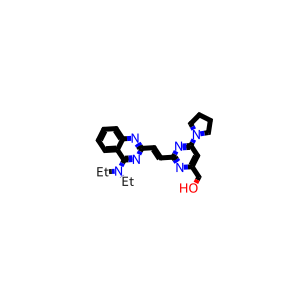 CCN(CC)c1nc(C=Cc2nc(CO)cc(N3CCCC3)n2)nc2ccccc12